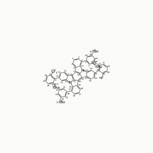 CC(C)(C)c1cc(-c2cccc3c4c5c6ccc(-c7c(F)cccc7C(F)(F)F)cc6n6c7c(-c8cc(C(C)(C)C)cc(C(C)(C)C)c8)cccc7c(c7c8ccc(-c9c(F)cccc9C(F)(F)F)cc8n(c23)c74)c56)cc(C(C)(C)C)c1